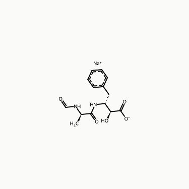 C[C@@H](NC=O)C(=O)N[C@H](Cc1ccccc1)[C@H](O)C(=O)[O-].[Na+]